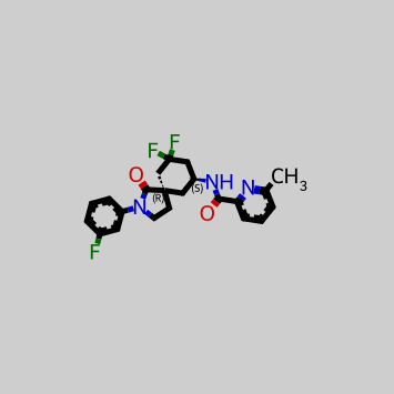 Cc1cccc(C(=O)N[C@@H]2CC(F)(F)C[C@@]3(CCN(c4cccc(F)c4)C3=O)C2)n1